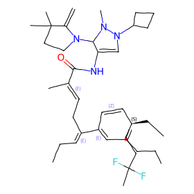 C=C(/C=C(\C=C/[C@@H](CC)CCC(C)(F)F)C(=C/CC)/C/C=C(\C)C(=O)NC1=CN(C2CCC2)N(C)C1N1CCC(C)(C)C1=C)CCC